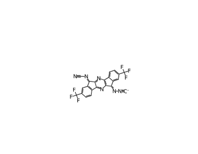 [C-]#[N+]/N=c1\c2cc(C(F)(F)F)ccc2c2nc3/c(=N/C#N)c4cc(C(F)(F)F)ccc4c3nc12